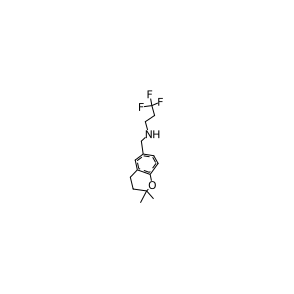 CC1(C)CCc2cc(CNCCC(F)(F)F)ccc2O1